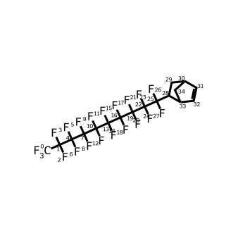 FC(F)(F)C(F)(F)C(F)(F)C(F)(F)C(F)(F)C(F)(F)C(F)(F)C(F)(F)C(F)(F)C(F)(F)C1CC2C=CC1C2